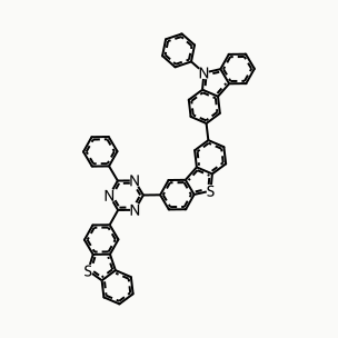 c1ccc(-c2nc(-c3ccc4sc5ccccc5c4c3)nc(-c3ccc4sc5ccc(-c6ccc7c(c6)c6ccccc6n7-c6ccccc6)cc5c4c3)n2)cc1